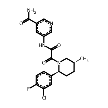 C[C@@H]1CC[C@@H](c2ccc(F)c(Cl)c2)N(C(=O)C(=O)Nc2cncc(C(N)=O)c2)C1